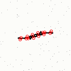 C=CC(=O)OCCCCOC(=O)Oc1ccc(C(=O)C(=O)[C@H]2CC[C@H](C(=O)C(=O)c3ccc(OC(=O)OCCCCOC(=O)C=C)c(C)c3)CC2)cc1C